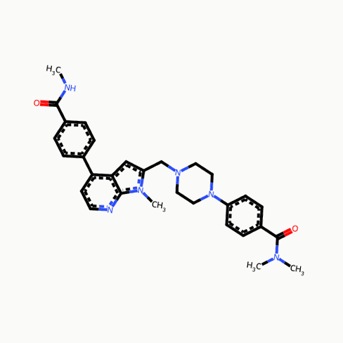 CNC(=O)c1ccc(-c2ccnc3c2cc(CN2CCN(c4ccc(C(=O)N(C)C)cc4)CC2)n3C)cc1